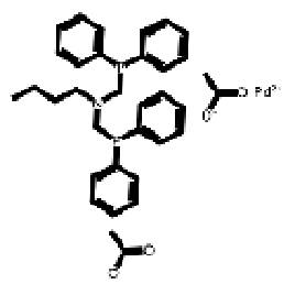 CC(=O)[O-].CC(=O)[O-].CCCCN(CP(c1ccccc1)c1ccccc1)CP(c1ccccc1)c1ccccc1.[Pd+2]